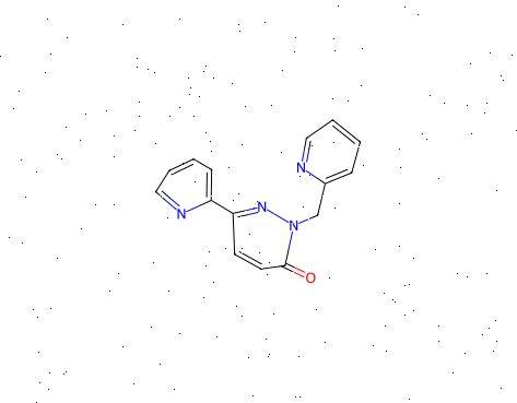 O=c1ccc(-c2ccccn2)nn1Cc1ccccn1